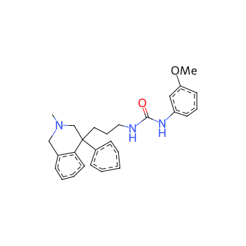 COc1cccc(NC(=O)NCCCC2(c3ccccc3)CN(C)Cc3ccccc32)c1